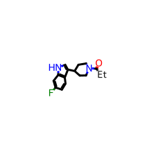 CCC(=O)N1CCC(c2c[nH]c3cc(F)ccc23)CC1